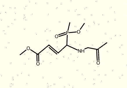 COC(=O)C=CC(NCC(C)=O)P(C)(=O)OC